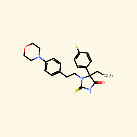 CCOC(=O)CC1(c2ccc(F)cc2)C(=O)NC(=S)N1CCc1ccc(N2CCOCC2)cc1